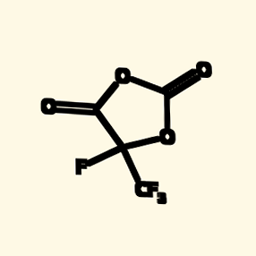 O=C1OC(=O)C(F)(C(F)(F)F)O1